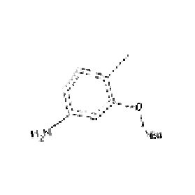 CCCCOc1cc(N)ccc1C